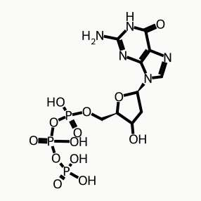 Nc1nc2c(ncn2[C@H]2CC(O)[C@@H](COP(=O)(O)OP(=O)(O)OP(=O)(O)O)O2)c(=O)[nH]1